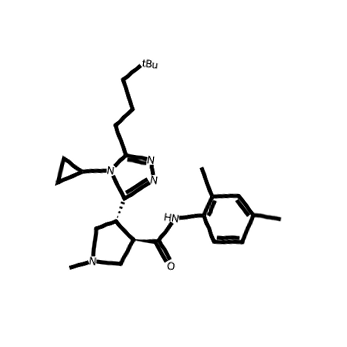 Cc1ccc(NC(=O)[C@H]2CN(C)C[C@@H]2c2nnc(CCCC(C)(C)C)n2C2CC2)c(C)c1